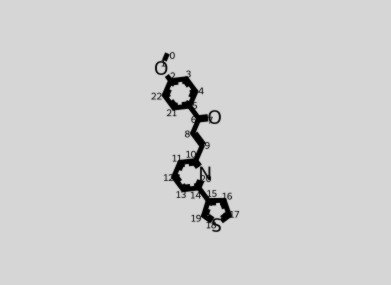 COc1ccc(C(=O)/C=C/c2cccc(-c3ccsc3)n2)cc1